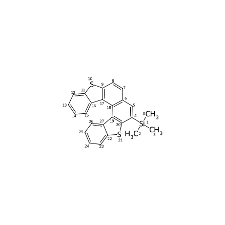 C[Si](C)(C)c1cc2ccc3sc4ccccc4c3c2c2c1sc1ccccc12